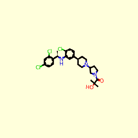 C[C@@H](Nc1cc(C2CCN(C3CCN(C(=O)C(C)(C)O)C3)CC2)ccc1Cl)c1ccc(Cl)cc1Cl